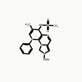 CON1C=C2C=NC3=C(N2C1)N(c1ccccc1)C=C(C)C3NS(C)(=O)=O